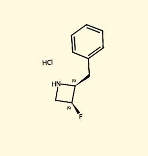 Cl.F[C@H]1CN[C@H]1Cc1ccccc1